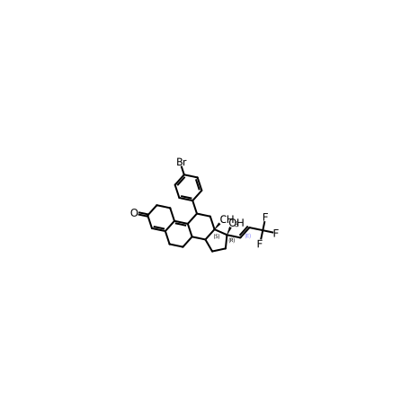 C[C@]12CC(c3ccc(Br)cc3)C3=C4CCC(=O)C=C4CCC3C1CC[C@@]2(O)/C=C/C(F)(F)F